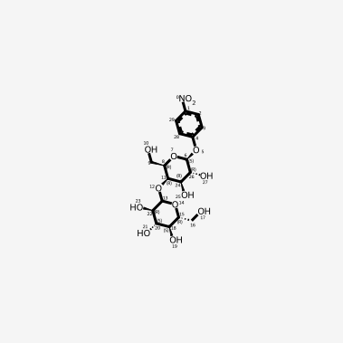 O=[N+]([O-])c1ccc(O[C@@H]2O[C@H](CO)[C@H](OC3O[C@H](CO)[C@@H](O)[C@H](O)[C@H]3O)[C@H](O)[C@H]2O)cc1